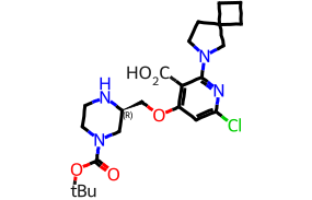 CC(C)(C)OC(=O)N1CCN[C@@H](COc2cc(Cl)nc(N3CCC4(CCC4)C3)c2C(=O)O)C1